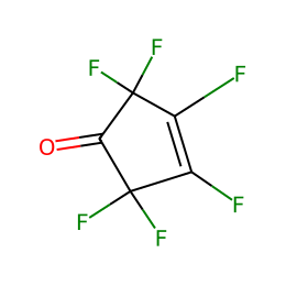 O=C1C(F)(F)C(F)=C(F)C1(F)F